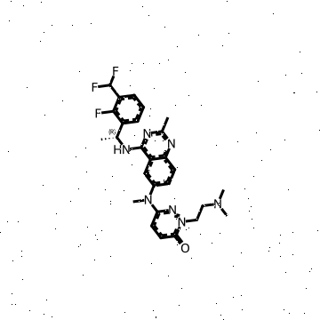 Cc1nc(N[C@H](C)c2cccc(C(F)F)c2F)c2cc(N(C)c3ccc(=O)n(CCN(C)C)n3)ccc2n1